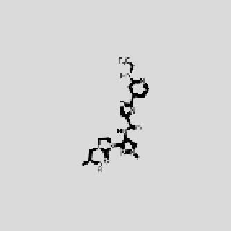 CC(O)CN1CCN(c2nn(C)cc2NC(=O)c2coc(-c3ccnc(NCC(F)(F)F)c3)n2)C1=O